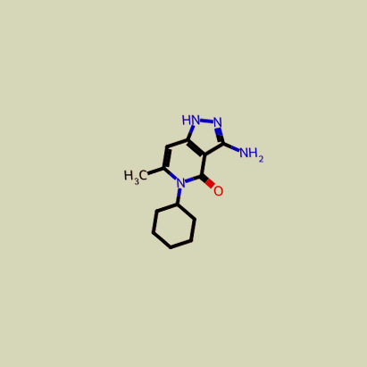 Cc1cc2[nH]nc(N)c2c(=O)n1C1CCCCC1